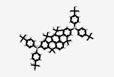 CC(C)(C)c1ccc(N(c2ccc(C(C)(C)C)cc2)c2cc3c4c(c2)C(C)(C)c2ccc5c6c7c(c(c-4c26)C3(C)C)C(C)(C)c2cc(N(c3ccc(C(C)(C)C)cc3)c3ccc(C(C)(C)C)cc3)cc(c2-7)C5(C)C)cc1